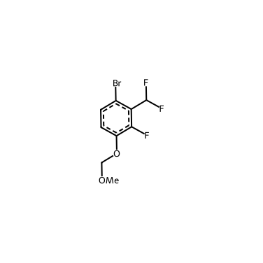 COCOc1ccc(Br)c(C(F)F)c1F